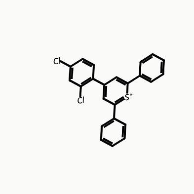 Clc1ccc(-c2cc(-c3ccccc3)[s+]c(-c3ccccc3)c2)c(Cl)c1